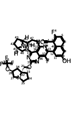 C#Cc1c(F)ccc2cc(O)cc(-c3nc4c5c(nc(OC[C@]67CCCN6C[C@@H](OC(F)(F)F)C7)nc5c3F)N3C[C@H]5CC[C@H](N5)[C@H]3CC4)c12